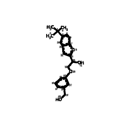 CC(C)(C)c1ccc2oc(C(O)COc3cccc(CO)c3)cc2c1